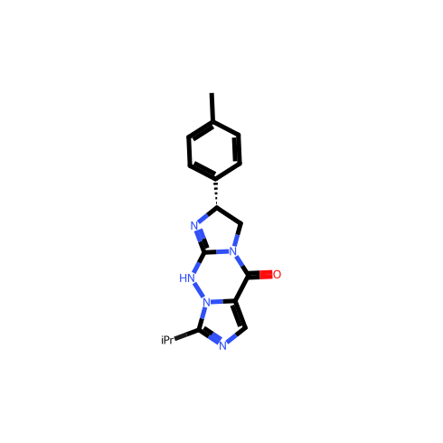 Cc1ccc([C@@H]2CN3C(=O)c4cnc(C(C)C)n4NC3=N2)cc1